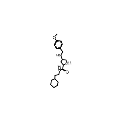 COc1ccc(CNC2CNC(C(=O)NCCC3CCCCC3)C2)cc1